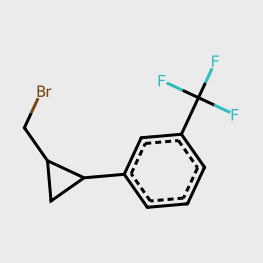 FC(F)(F)c1cccc(C2CC2CBr)c1